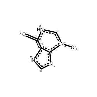 O=c1[nH]c[n+]([O-])c2nc[nH]c12